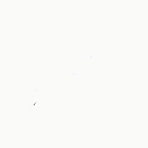 C/C=C1\C(CN(C)c2ccc(C[C@H](N)C(F)(F)F)cc2)N1C(=O)OC(C)(C)C